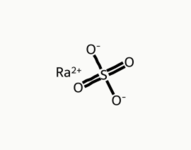 O=S(=O)([O-])[O-].[Ra+2]